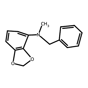 CN(Cc1ccccc1)c1cccc2c1OCO2